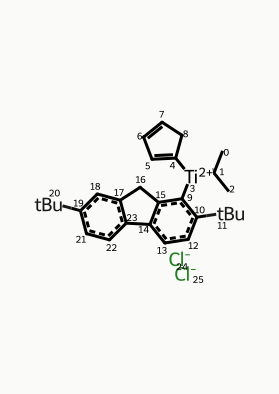 C[C](C)=[Ti+2]([C]1=CC=CC1)[c]1c(C(C)(C)C)ccc2c1Cc1cc(C(C)(C)C)ccc1-2.[Cl-].[Cl-]